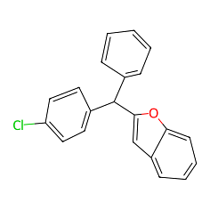 Clc1ccc(C(c2ccccc2)c2cc3ccccc3o2)cc1